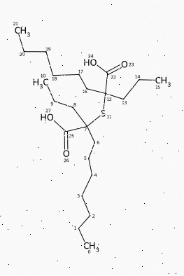 CCCCCCCC(CCC)(SC(CCC)(CCCCCC)C(=O)O)C(=O)O